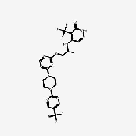 C[C@@H](COc1ncnc(N2CCN(c3ncc(C(F)(F)F)cn3)CC2)n1)Nc1cn[nH]c(=O)c1C(F)(F)F